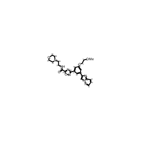 COCCOc1cc(-c2cn3ncccc3n2)cc(-c2noc(C(=O)NCCN3CCOCC3)n2)c1